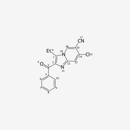 CCc1c(C(=O)c2ccccc2)nc2cc(Cl)c(C#N)cn12